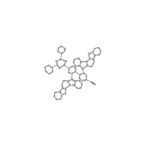 N#Cc1ccc(-c2ccc(-c3nc(-c4ccccc4)nc(-c4ccccc4)n3)cc2-n2c3ccccc3c3c4sc5ccccc5c4ccc32)c(-n2c3ccccc3c3c4sc5ccccc5c4ccc32)c1